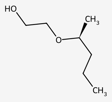 CCC[C@H](C)OCCO